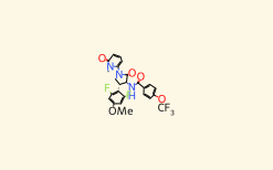 COc1cc(F)c([C@@H]2CN(c3cccc(=O)n3C)C(=O)[C@H]2NC(=O)c2ccc(OC(F)(F)F)cc2)c(F)c1